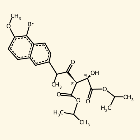 COc1ccc2cc(C(C)C(=O)[C@H](C(=O)OC(C)C)[C@@H](O)C(=O)OC(C)C)ccc2c1Br